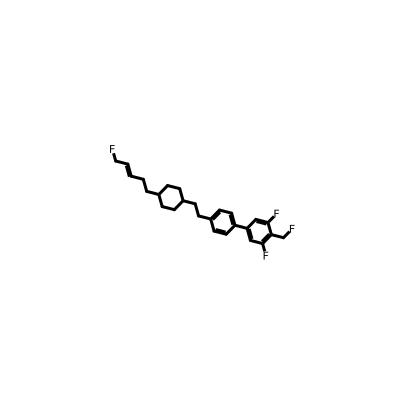 FC/C=C/CCC1CCC(CCc2ccc(-c3cc(F)c(CF)c(F)c3)cc2)CC1